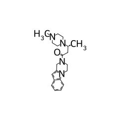 C[C@@H](CC(=O)N1CCn2c(cc3ccccc32)C1)N1CCN(C)CC1